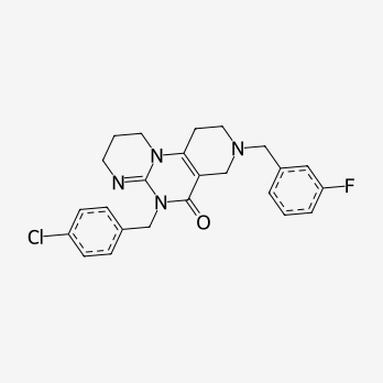 O=C1C2=C(CCN(Cc3cccc(F)c3)C2)N2CCCN=C2N1Cc1ccc(Cl)cc1